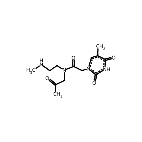 CNCCN(CC(C)=O)C(=O)Cn1cc(C)c(=O)[nH]c1=O